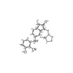 CN1CCCC1Cn1c(=O)n(C)c2ccc(Nc3ccnc(Cl)c3C#N)cc21